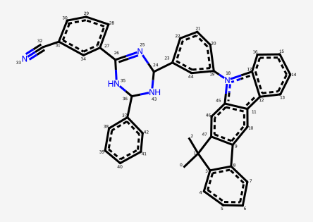 CC1(C)c2ccccc2-c2cc3c4ccccc4n(-c4cccc(C5N=C(c6cccc(C#N)c6)NC(c6ccccc6)N5)c4)c3cc21